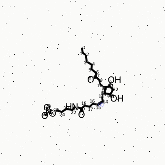 CCCCCCCC(=O)CC[C@@H]1[C@@H](C/C=C\CCCC(=O)NCCCCO[N+](=O)[O-])[C@@H](O)C[C@H]1O